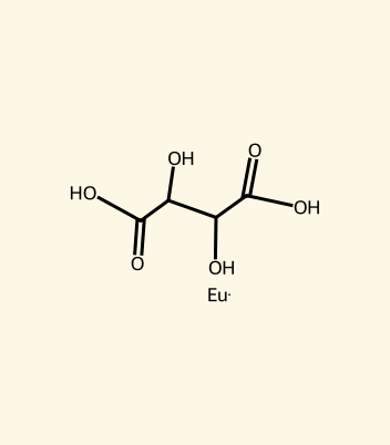 O=C(O)C(O)C(O)C(=O)O.[Eu]